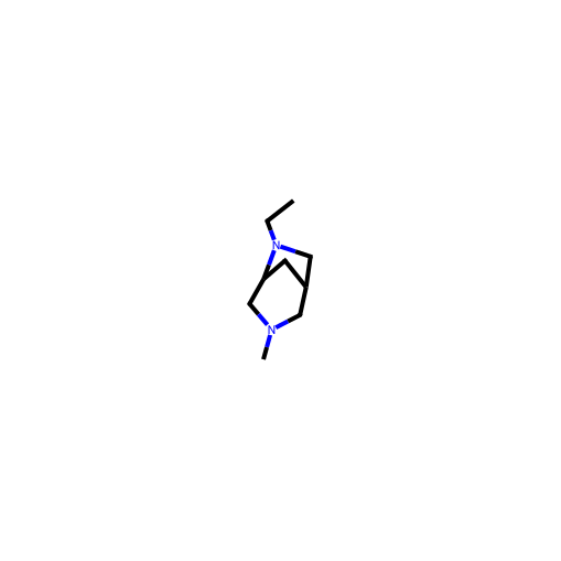 CCN1CC2CC1CN(C)C2